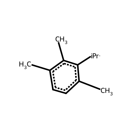 C[C](C)c1c(C)ccc(C)c1C